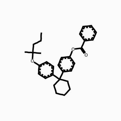 CCCC(C)(C)Oc1ccc(C2(c3ccc(OC(=O)c4ccccc4)cc3)CCCCC2)cc1